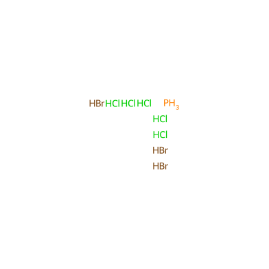 Br.Br.Br.Cl.Cl.Cl.Cl.Cl.P